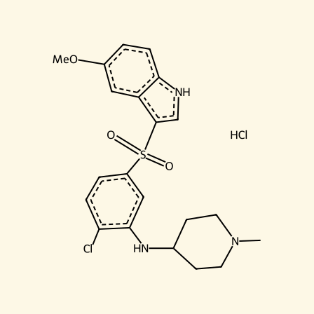 COc1ccc2[nH]cc(S(=O)(=O)c3ccc(Cl)c(NC4CCN(C)CC4)c3)c2c1.Cl